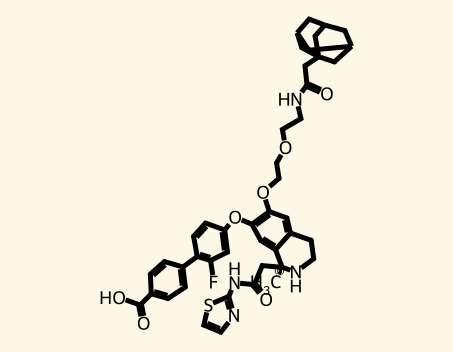 C[C@]1(CC(=O)Nc2nccs2)NCCc2cc(OCCOCCNC(=O)CC34CC5CC(CC(C5)C3)C4)c(Oc3ccc(-c4ccc(C(=O)O)cc4)c(F)c3)cc21